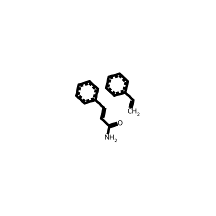 C=Cc1ccccc1.NC(=O)/C=C/c1ccccc1